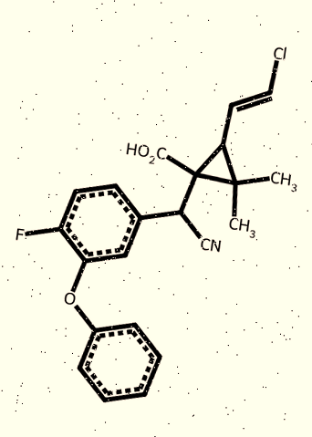 CC1(C)C(C=CCl)C1(C(=O)O)C(C#N)c1ccc(F)c(Oc2ccccc2)c1